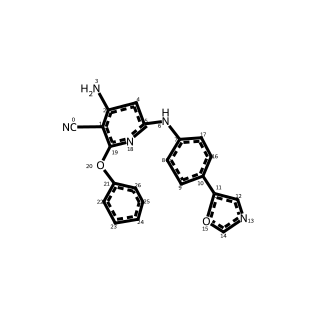 N#Cc1c(N)cc(Nc2ccc(-c3cnco3)cc2)nc1Oc1ccccc1